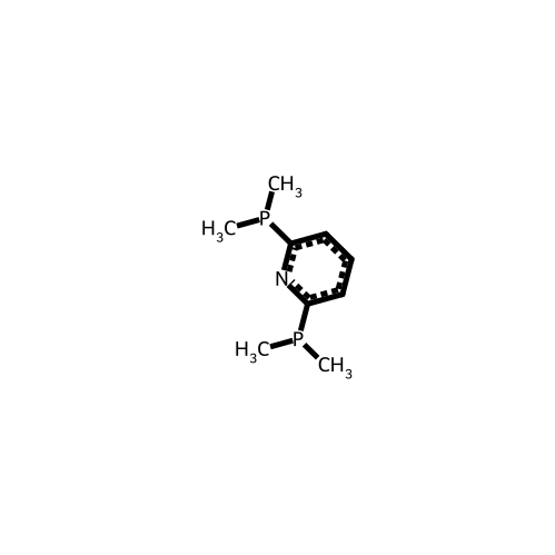 CP(C)c1cccc(P(C)C)n1